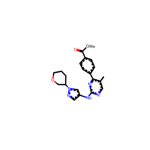 COC(=O)c1ccc(-c2nc(Nc3cnn(C4CCCOC4)c3)ncc2C)cc1